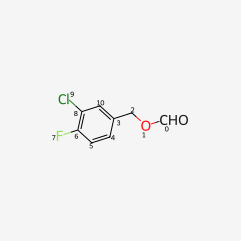 O=COCc1ccc(F)c(Cl)c1